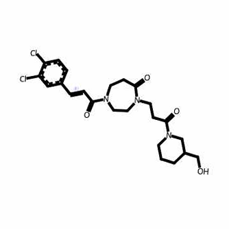 O=C(/C=C/c1ccc(Cl)c(Cl)c1)N1CCC(=O)N(CCC(=O)N2CCCC(CO)C2)CC1